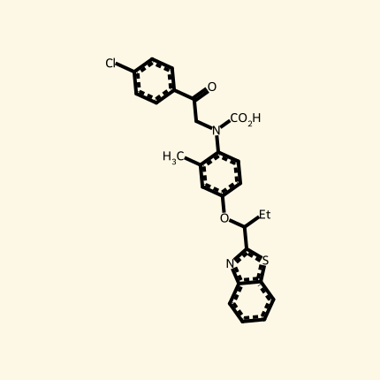 CCC(Oc1ccc(N(CC(=O)c2ccc(Cl)cc2)C(=O)O)c(C)c1)c1nc2ccccc2s1